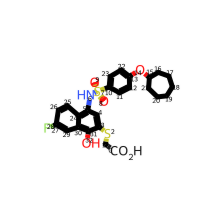 O=C(O)CSc1cc(NS(=O)(=O)c2ccc(OC3CCCCCC3)cc2)c2ccc(F)cc2c1O